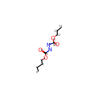 CCCCOC(=O)N=NC(=O)OCCC